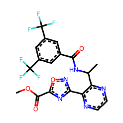 COC(=O)c1nc(-c2nccnc2C(C)NC(=O)c2cc(C(F)(F)F)cc(C(F)(F)F)c2)no1